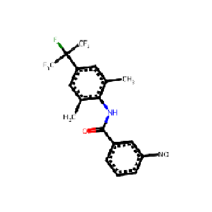 Cc1cc(C(F)(C(F)(F)F)C(F)(F)F)cc(C)c1NC(=O)c1cccc(N=O)c1